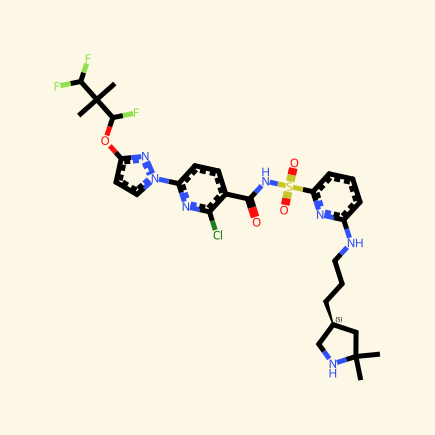 CC1(C)C[C@H](CCCNc2cccc(S(=O)(=O)NC(=O)c3ccc(-n4ccc(OC(F)C(C)(C)C(F)F)n4)nc3Cl)n2)CN1